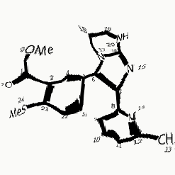 COC(=O)c1cc(-c2c(-c3cccc(C)n3)nc3n2CCN3)ccc1SC